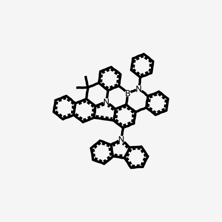 CC1(C)c2cccc3c2-n2c4c1c1ccccc1cc4c1c(-n4c5ccccc5c5ccccc54)cc4c(c12)B3N(c1ccccc1)c1ccccc1-4